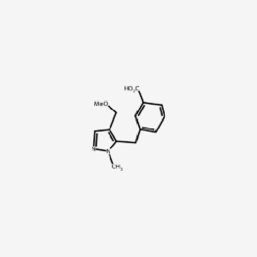 COCc1cnn(C)c1Cc1cccc(C(=O)O)c1